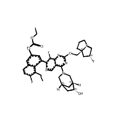 CCOC(=O)Oc1cc(-c2ncc3c(N4C[C@@H]5C[C@H](C4)[C@H](O)C5)nc(OC[C@@]45CCCN4C[C@H](F)C5)nc3c2F)c2c(CC)c(F)ccc2c1